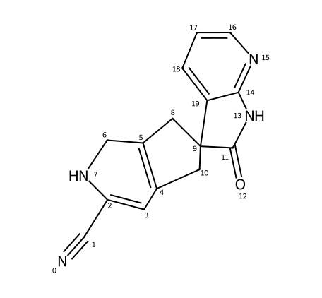 N#CC1=CC2=C(CN1)CC1(C2)C(=O)Nc2ncccc21